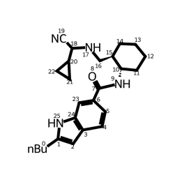 CCCCc1cc2ccc(C(=O)N[C@H]3CCCC[C@@H]3CNC(C#N)C3CC3)cc2[nH]1